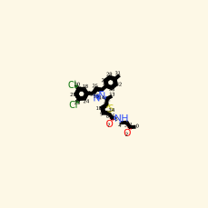 CC(=O)CCNC(=O)c1ccc(C(C)n2nc(-c3cc(Cl)cc(Cl)c3)cc2-c2ccc(C)cc2)s1